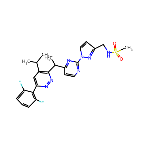 CC(C)c1cc(-c2c(F)cccc2F)nnc1C(C)c1ccnc(-n2ccc(CNS(C)(=O)=O)n2)n1